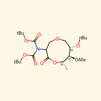 CCCCO[C@H]1COCC(N(C(=O)OC(C)(C)C)C(=O)OC(C)(C)C)C(=O)O[C@@H](C)[C@@H]1OC